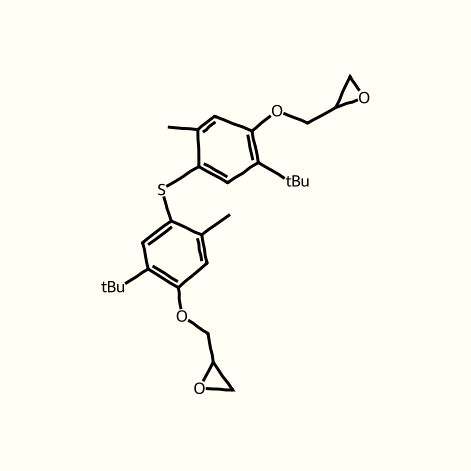 Cc1cc(OCC2CO2)c(C(C)(C)C)cc1Sc1cc(C(C)(C)C)c(OCC2CO2)cc1C